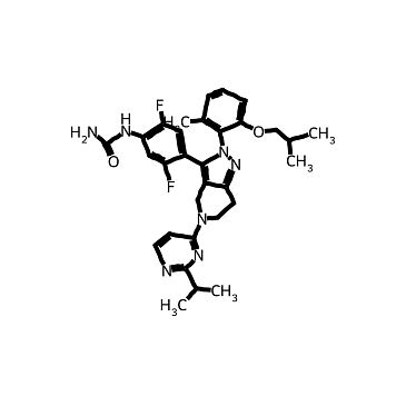 Cc1cccc(OCC(C)C)c1-n1nc2c(c1-c1cc(F)c(NC(N)=O)cc1F)CN(c1ccnc(C(C)C)n1)CC2